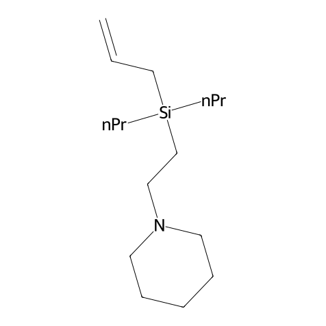 C=CC[Si](CCC)(CCC)CCN1CCCCC1